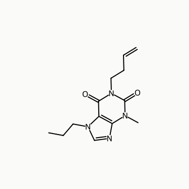 C=CCCn1c(=O)c2c(ncn2CCC)n(C)c1=O